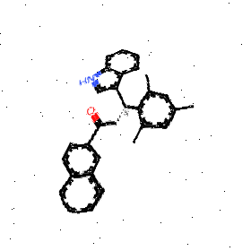 Cc1cc(C)c([C@H](CC(=O)c2ccc3ccccc3c2)c2c[nH]c3ccccc23)c(C)c1